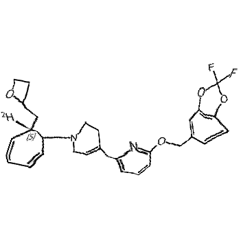 [2H][C@]1(CC2CCO2)C=CC=CC1CN1CC=C(c2cccc(OCc3ccc4c(c3)OC(F)(F)O4)n2)CC1